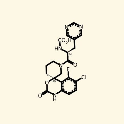 O=C(O)N[C@@H](Cc1cncnc1)C(=O)N1CCC[C@@]2(C1)OC(=O)Nc1ccc(Cl)c(F)c12